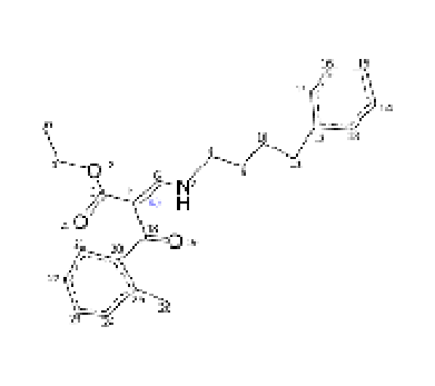 CCOC(=O)/C(=C/NCCCCc1ccccc1)C(=O)c1ccccc1C